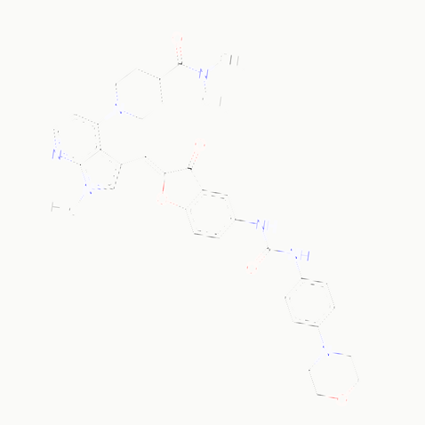 CN(C)C(=O)C1CCN(c2ccnc3c2c(C=C2Oc4ccc(NC(=O)Nc5ccc(N6CCOCC6)cc5)cc4C2=O)cn3C)CC1